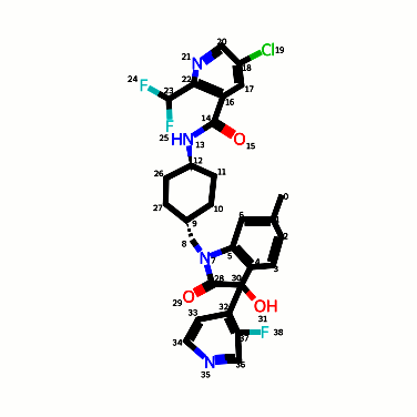 Cc1ccc2c(c1)N(C[C@H]1CC[C@H](NC(=O)c3cc(Cl)cnc3C(F)F)CC1)C(=O)C2(O)c1ccncc1F